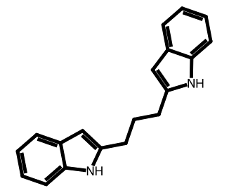 c1ccc2[nH]c(CCCc3cc4ccccc4[nH]3)cc2c1